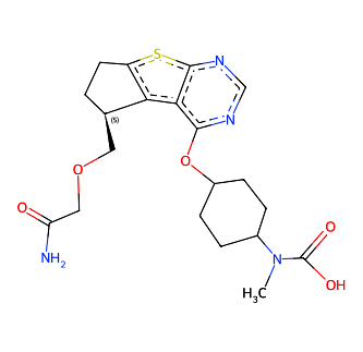 CN(C(=O)O)C1CCC(Oc2ncnc3sc4c(c23)[C@@H](COCC(N)=O)CC4)CC1